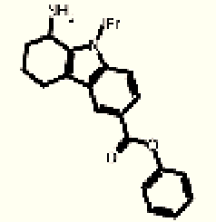 CC(C)n1c2c(c3cc(C(=O)Oc4ccccc4)ccc31)CCCC2N